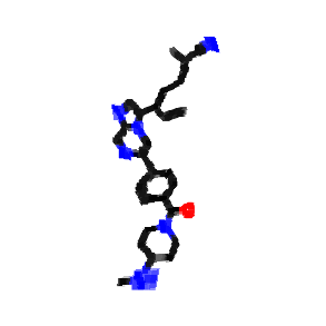 C=C/C(=C\C=C(/C)C#N)c1cnc2cnc(-c3ccc(C(=O)N4CCC(NC)CC4)cc3)cn12